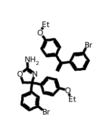 C=C(c1ccc(OCC)cc1)c1cccc(Br)c1.CCOc1ccc(C2(c3cccc(Br)c3)COC(N)=N2)cc1